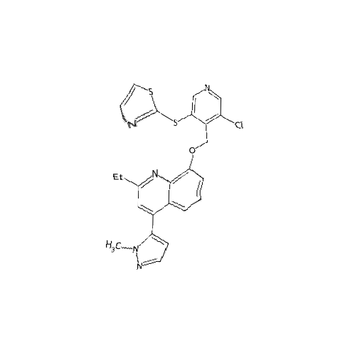 CCc1cc(-c2ccnn2C)c2cccc(OCc3c(Cl)cncc3Sc3nccs3)c2n1